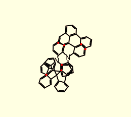 c1ccc(-c2cccc3cccc(-c4ccccc4N(c4ccc5c(c4)C4(c6ccccc6-c6ccccc64)c4ccccc4-5)c4ccccc4-n4c5ccccc5c5ccccc54)c23)cc1